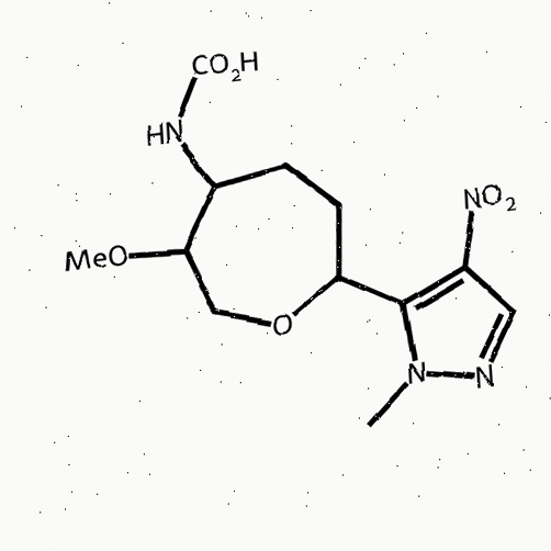 COC1COC(c2c([N+](=O)[O-])cnn2C)CCC1NC(=O)O